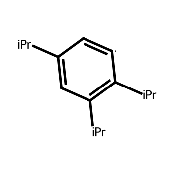 CC(C)c1c[c]c(C(C)C)c(C(C)C)c1